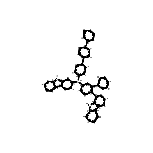 c1ccc(-c2ccc(-c3ccc(N(c4ccc(-c5cccc6c5oc5ccccc56)c(-c5ccccc5)c4)c4ccc5c(c4)sc4ccccc45)cc3)cc2)cc1